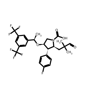 C[C@@H](O[C@H]1CN(C(=O)O)[C@@H](CC(C)(C)C=O)[C@@H]1c1ccc(F)cc1)c1cc(C(F)(F)F)cc(C(F)(F)F)c1